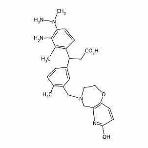 Cc1ccc(C(CC(=O)O)c2ccc(N(C)N)c(N)c2C)cc1CN1CCOc2ccc(O)nc2C1